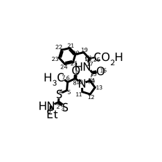 CCNC(=S)SCC(C)C(=O)N1CCC[C@H]1C(=O)N[C@@H](Cc1ccccc1)C(=O)O